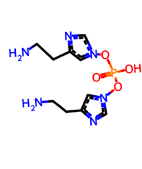 NCCc1cn(OP(=O)(O)On2cnc(CCN)c2)cn1